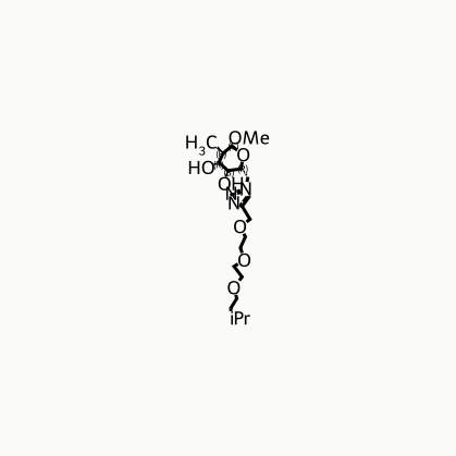 CO[C@H]1O[C@H](Cn2cc(COCCOCCOCCC(C)C)nn2)[C@@H](O)[C@H](O)[C@H]1C